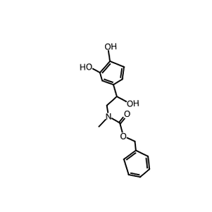 CN(CC(O)c1ccc(O)c(O)c1)C(=O)OCc1ccccc1